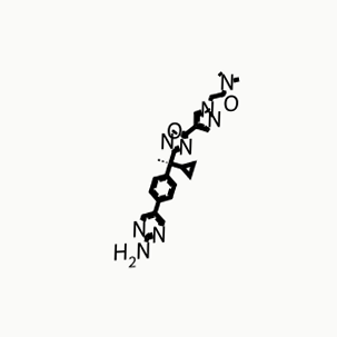 CN(C)C(=O)Cn1cc(-c2nc([C@](C)(c3ccc(-c4cnc(N)nc4)cc3)C3CC3)no2)cn1